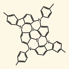 Cc1ccc(N2c3ccc4c5c3B3c6c(ccc7c6B5c5c(ccc6c8cc(C)ccc8n-4c56)N7c4ccc(C)cc4)-n4c5ccc(C)cc5c5ccc2c3c54)cc1